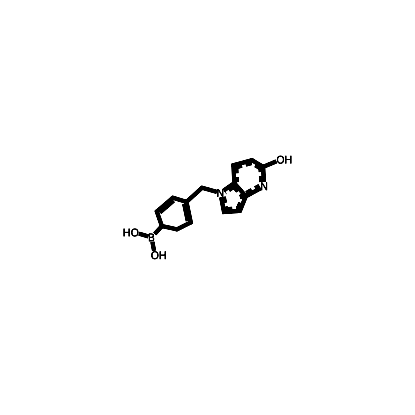 OB(O)C1C=CC(Cn2ccc3nc(O)ccc32)=CC1